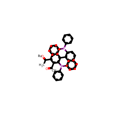 CC(=O)c1c(P(c2ccccc2)c2ccccc2)c(-c2c(P(c3ccccc3)c3ccccc3)ccc3ccccc23)c2ccccc2c1C(C)=O.[Ru]